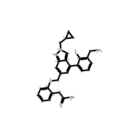 NCc1cccc(-c2cc(COc3ccccc3CC(=O)O)cc3nn(CC4CC4)cc23)c1F